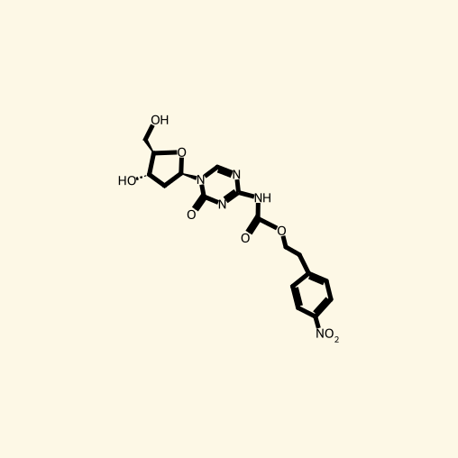 O=C(Nc1ncn([C@H]2C[C@H](O)[C@@H](CO)O2)c(=O)n1)OCCc1ccc([N+](=O)[O-])cc1